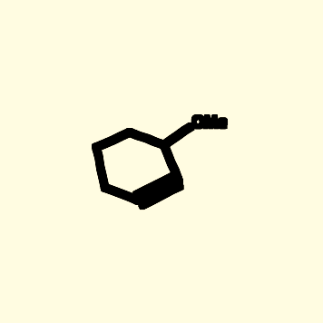 COC1C#CCCC1